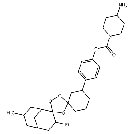 CCC1CC2CC(C)CC(C2)C12OOC1(CCCC(c3ccc(OC(=O)N4CCC(N)CC4)cc3)C1)O2